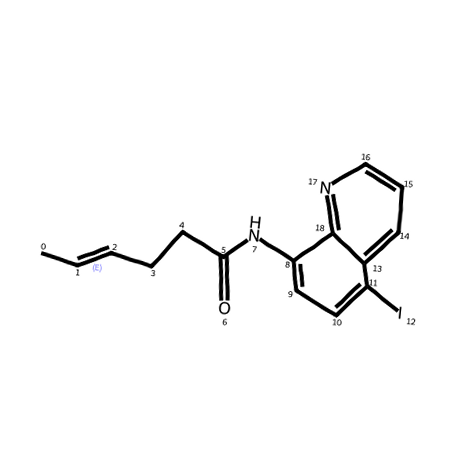 C/C=C/CCC(=O)Nc1ccc(I)c2cccnc12